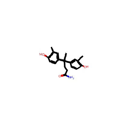 Cc1cc(C(C)(CCC(N)=O)c2ccc(O)c(C)c2)ccc1O